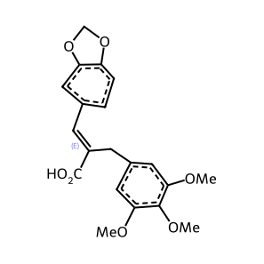 COc1cc(C/C(=C\c2ccc3c(c2)OCO3)C(=O)O)cc(OC)c1OC